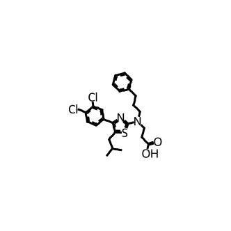 CC(C)Cc1sc(N(CCCc2ccccc2)CCC(=O)O)nc1-c1ccc(Cl)c(Cl)c1